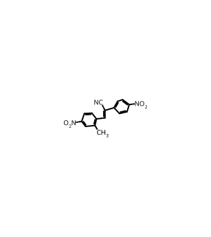 Cc1cc([N+](=O)[O-])ccc1/C=C(\C#N)c1ccc([N+](=O)[O-])cc1